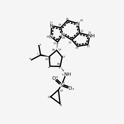 CC(C)[C@@H]1C[C@@H](NS(=O)(=O)C2CC2)C[C@H]1c1nnc2cnc3[nH]ccc3n12